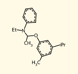 CCN(c1ccccc1)C(C)Oc1cc(C)cc(C(C)C)c1